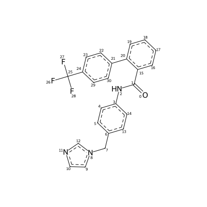 O=C(Nc1ccc(Cn2ccnc2)cc1)c1ccccc1-c1ccc(C(F)(F)F)cc1